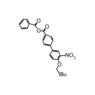 CCC(C)COc1ccc(-c2ccc(C(=O)OC(=O)c3ccccc3)cc2)cc1[N+](=O)[O-]